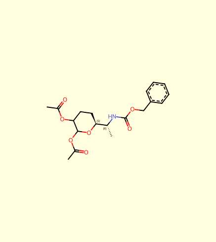 CC(=O)OC1CC[C@@H]([C@@H](C)NC(=O)OCc2ccccc2)OC1OC(C)=O